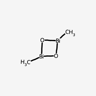 [CH3][Bi]1[O][Bi]([CH3])[O]1